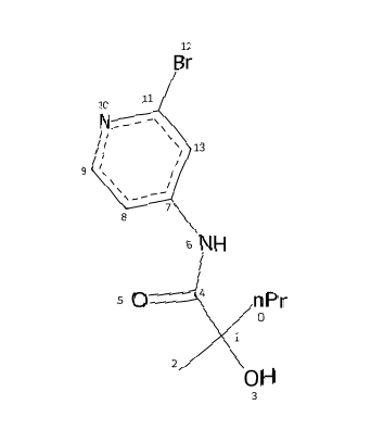 CCCC(C)(O)C(=O)Nc1ccnc(Br)c1